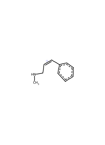 CNC/C=C\c1ccccc1